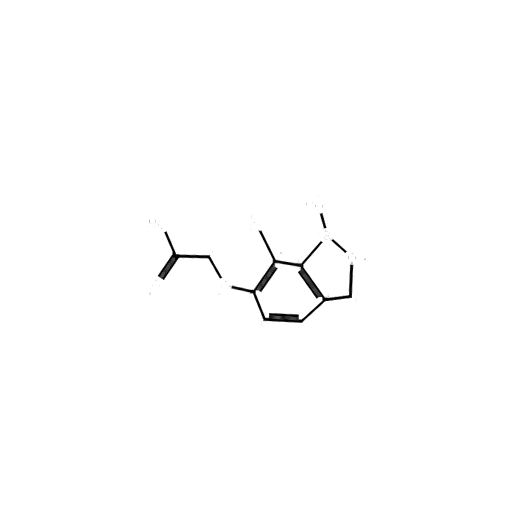 O=C(O)COc1ccc2c(c1Cl)B(O)OC2